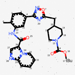 Cc1ccc(-c2noc(CC3CCN(C(=O)OC(C)(C)C)CC3)n2)cc1NC(=O)c1cnc2ccccn12